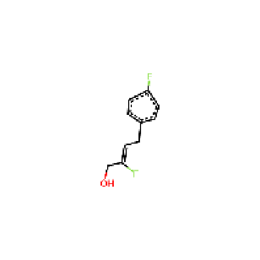 OC/C(F)=C/Cc1ccc(F)cc1